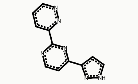 c1cnnc(-c2nccc(-c3cc[nH]n3)n2)c1